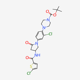 CC(C)(C)OC(=O)N1CCN(c2ccc(N3CC(NC(=O)c4ccc(Cl)s4)CC3=O)cc2Cl)CC1